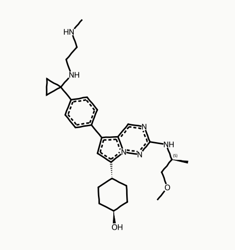 CNCCNC1(c2ccc(-c3cc([C@H]4CC[C@H](O)CC4)n4nc(N[C@@H](C)COC)ncc34)cc2)CC1